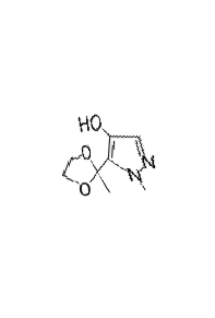 Cn1ncc(O)c1C1(C)OCCO1